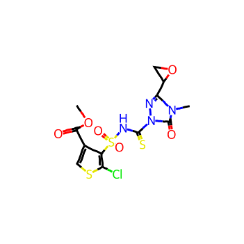 COC(=O)c1csc(Cl)c1S(=O)(=O)NC(=S)n1nc(C2CO2)n(C)c1=O